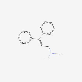 CCCCN(CC=C(c1ccccc1)c1ccccc1)CCCC